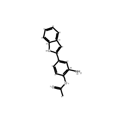 CC(=O)Oc1ccc(-c2cc3ccccc3o2)cc1N